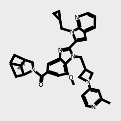 COc1cc(C(=O)N2CC3CC4CC2[C@H]43)cc2nc(-c3cc4cccnc4n3CC3CC3)n(CC3CN(c4ccnc(C)c4)C3)c12